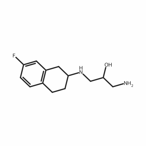 NCC(O)CNC1CCc2ccc(F)cc2C1